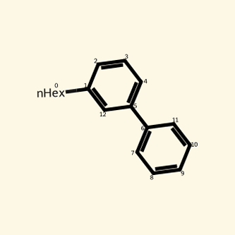 CCCCCCc1cccc(-c2ccccc2)c1